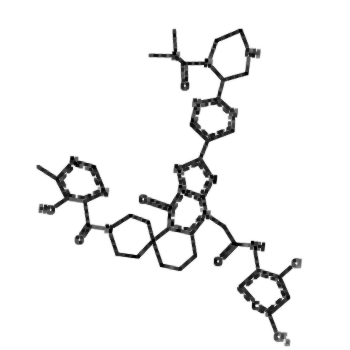 Cc1ncnc(C(=O)N2CCC3(CCCc4c3c(=O)n3nc(-c5cnc(C6CNCCN6C(=O)N(C)C)nc5)nc3n4CC(=O)Nc3ccc(C(F)(F)F)cc3Cl)CC2)c1O